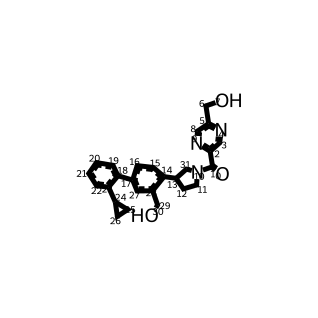 O=C(c1cnc(CO)cn1)N1CCC(c2ccc(-c3ccccc3C3CC3)cc2CO)C1